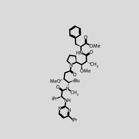 CC[C@H](C)[C@@H]([C@@H](CC(=O)N1CCC[C@H]1[C@H](OC)[C@@H](C)C(=O)N[C@@H](Cc1ccccc1)C(=O)OC)OC)N(C)C(=O)[C@@H](Nc1nccc(C(C)C)n1)C(C)C